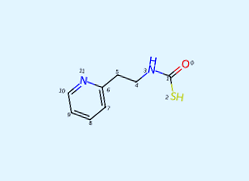 O=C(S)NCCc1ccccn1